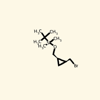 CC(C)(C)[Si](C)(C)OC[C@@H]1C[C@@H]1CBr